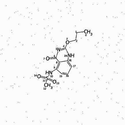 CCCOc1nc(=O)c2c(NS(C)(=O)=O)cccc2[nH]1